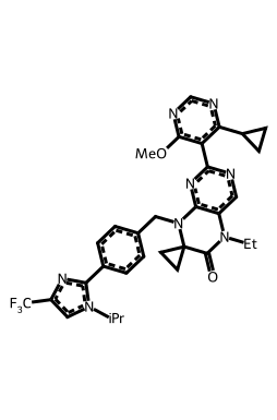 CCN1C(=O)C2(CC2)N(Cc2ccc(-c3nc(C(F)(F)F)cn3C(C)C)cc2)c2nc(-c3c(OC)ncnc3C3CC3)ncc21